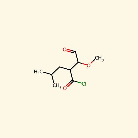 COC(C=O)C(CC(C)C)C(=O)Cl